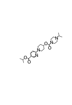 CC(C)OC(=O)c1ccc(N2CCC(OC(=O)N3CCN(C(C)C)CC3)CC2)nc1